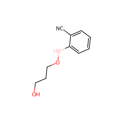 N#Cc1ccccc1BOCCCO